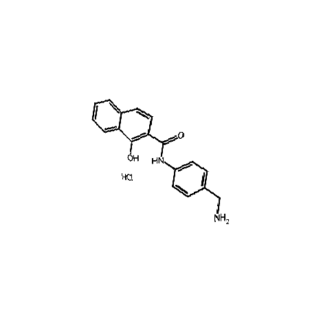 Cl.NCc1ccc(NC(=O)c2ccc3ccccc3c2O)cc1